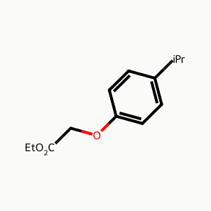 CCOC(=O)COc1ccc(C(C)C)cc1